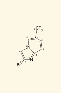 FC(F)(F)c1ccc2nc(Br)cn2c1